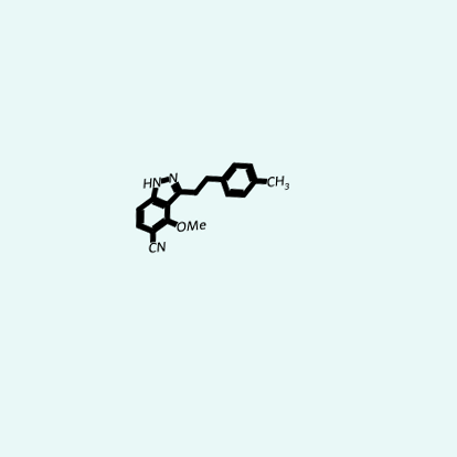 COc1c(C#N)ccc2[nH]nc(CCc3ccc(C)cc3)c12